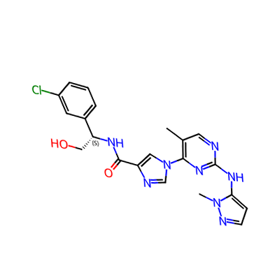 Cc1cnc(Nc2ccnn2C)nc1-n1cnc(C(=O)N[C@H](CO)c2cccc(Cl)c2)c1